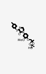 COc1cc(-n2ccnc(Sc3ccc(C)cc3)c2=O)ccc1OCC(C)(C)OP(C)(=O)O